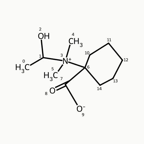 CC(O)[N+](C)(C)C1(C(=O)[O-])CCCCC1